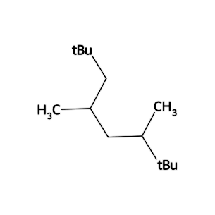 CC(CC(C)C(C)(C)C)CC(C)(C)C